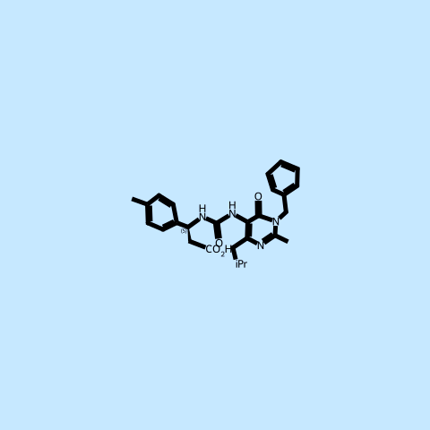 Cc1ccc([C@H](CC(=O)O)NC(=O)Nc2c(CC(C)C)nc(C)n(Cc3ccccc3)c2=O)cc1